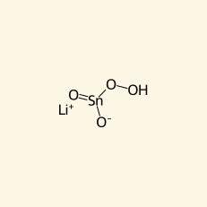 [Li+].[O]=[Sn]([O-])[O]O